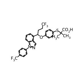 CC(C)(Sc1ccc(OC(CCC(F)(F)F)c2cccc3c2cnn3-c2ccc(C(F)(F)F)cc2)cc1)C(=O)O